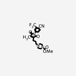 COC(=O)N1CCN(CCCC2=C(C)C(=O)N(c3ccc(C#N)c(C(F)(F)F)c3)C2=O)CC1